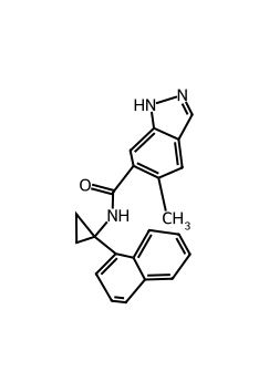 Cc1cc2cn[nH]c2cc1C(=O)NC1(c2cccc3ccccc23)CC1